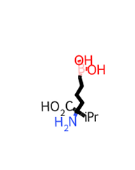 CC(C)C(N)(CCCCB(O)O)C(=O)O